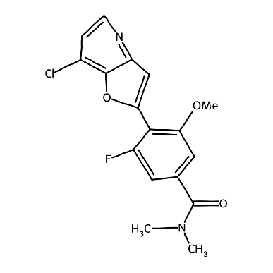 COc1cc(C(=O)N(C)C)cc(F)c1-c1cc2nccc(Cl)c2o1